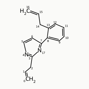 C=CCc1nccc(-c2ccccc2CC=C)n1